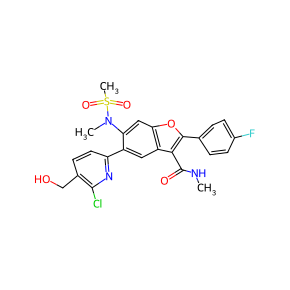 CNC(=O)c1c(-c2ccc(F)cc2)oc2cc(N(C)S(C)(=O)=O)c(-c3ccc(CO)c(Cl)n3)cc12